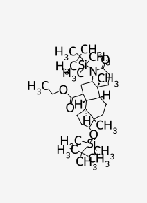 CCOC(=O)C1CC2N([Si](C)(C)C(C)(C)C)C(=O)CC[C@]2(C)[C@@H]2CC[C@]3(C)C(O[Si](C)(C)C(C)(C)C)CC[C@H]3[C@H]12